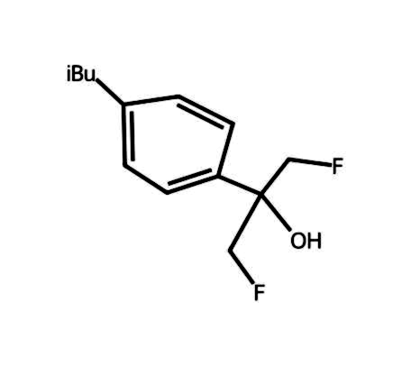 CCC(C)c1ccc(C(O)(CF)CF)cc1